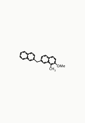 COc1ccc2ccc(Cc3ccc4ccccc4c3)cc2c1C